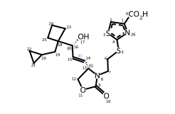 O=C(O)c1csc(SCCN2C(=O)OC[C@@H]2/C=C/[C@@H](O)C2(CC3CC3)CCC2)n1